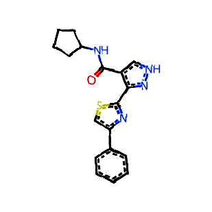 O=C(NC1CCCC1)c1c[nH]nc1-c1nc(-c2ccccc2)cs1